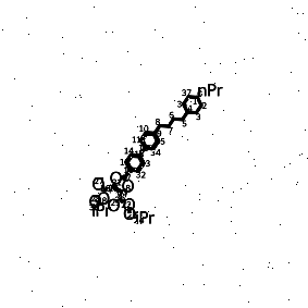 CCCC1CCC(CCCCc2ccc(-c3ccc(C4O[C@@H](C(=O)OOC(C)C)[C@H](C(=O)OOC(C)C)O4)cc3)cc2)CC1